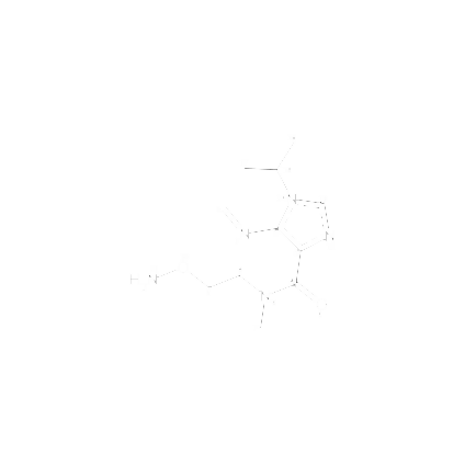 C=Nc1c(C(=O)N(C)CCON)ncn1C(C)C